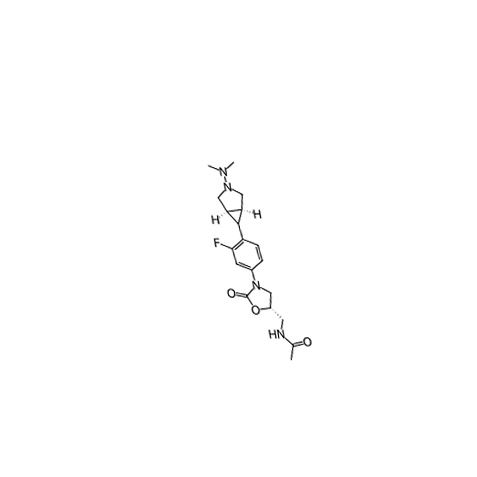 CC(=O)NC[C@H]1CN(c2ccc(C3[C@H]4CN(N(C)C)C[C@@H]34)c(F)c2)C(=O)O1